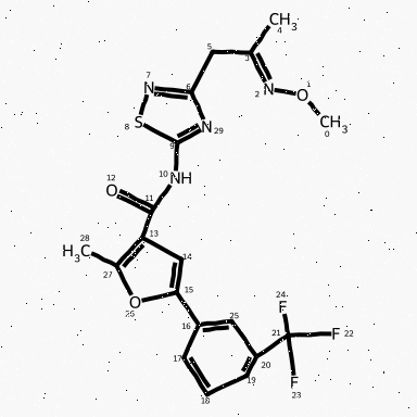 CON=C(C)Cc1nsc(NC(=O)c2cc(-c3cccc(C(F)(F)F)c3)oc2C)n1